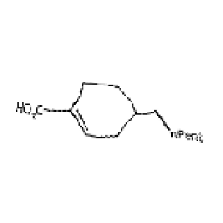 CCCCCCC1CC=C(C(=O)O)CC1